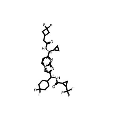 O=C(CC1CC(F)(F)C1)N[C@@H](c1ccn2cc([C@@H](NC(=O)C3CC3C(F)(F)F)C3CCC(F)(F)CC3)nc2n1)C1CC1